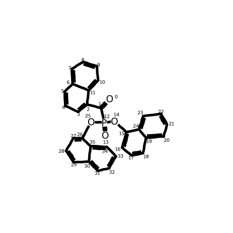 O=C(c1cccc2ccccc12)P(=O)(Oc1cccc2ccccc12)Oc1cccc2ccccc12